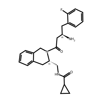 N[C@@H](CC(=O)N1Cc2ccccc2C[C@H]1CNC(=O)C1CC1)Cc1ccccc1F